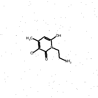 Cc1cc(O)n(CCN)c(=O)c1Cl